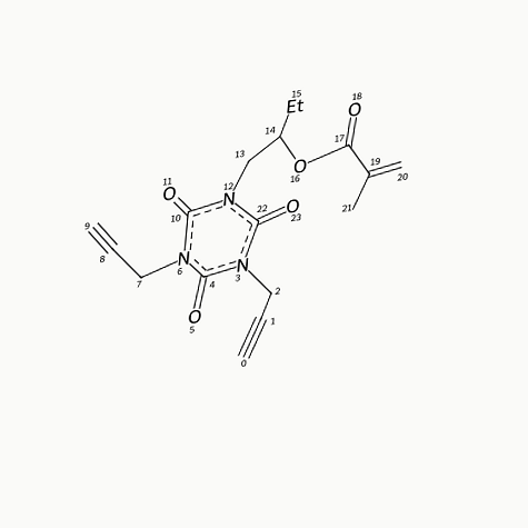 C#CCn1c(=O)n(CC#C)c(=O)n(CC(CC)OC(=O)C(=C)C)c1=O